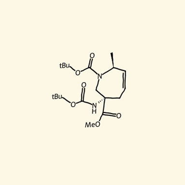 COC(=O)[C@]1(NC(=O)OC(C)(C)C)CC=C[C@H](C)N(C(=O)OC(C)(C)C)C1